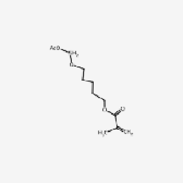 C=C(C)C(=O)OCCCCCO[SiH2]OC(C)=O